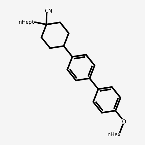 CCCCCCCC1(C#N)CCC(c2ccc(-c3ccc(OCCCCCC)cc3)cc2)CC1